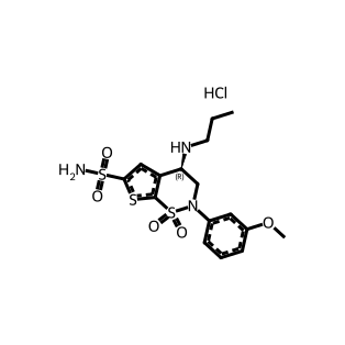 CCCN[C@H]1CN(c2cccc(OC)c2)S(=O)(=O)c2sc(S(N)(=O)=O)cc21.Cl